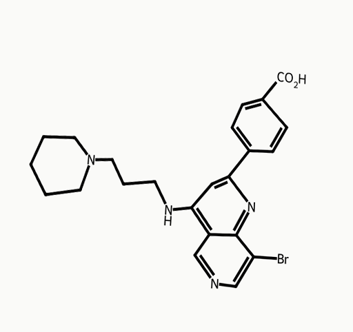 O=C(O)c1ccc(-c2cc(NCCCN3CCCCC3)c3cncc(Br)c3n2)cc1